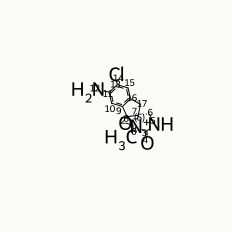 C[N+]1([O-])C(=O)NC[C@@]12Cc1cc(N)c(Cl)cc1C2